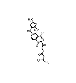 Cc1cc(Nc2ccc3c(c2)[n+]([O-])nc(NCCC(=O)OC(C)C)[n+]3[O-])n(C)n1